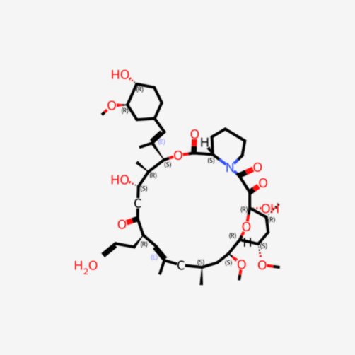 C=CC[C@@H]1/C=C(\C)C[C@H](C)C[C@H](OC)[C@H]2O[C@@](O)(C(=O)C(=O)N3CCCC[C@H]3C(=O)O[C@H](/C(C)=C/C3CC[C@@H](O)[C@H](OC)C3)[C@H](C)[C@@H](O)CC1=O)[C@H](C)C[C@@H]2OC.O